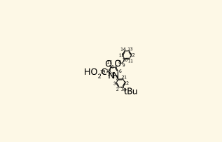 CC(C)(C)c1ccc(-n2cc(OCc3ccccc3)c(=O)c(C(=O)O)n2)cc1